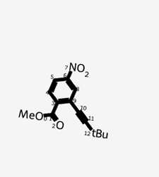 COC(=O)c1ccc([N+](=O)[O-])cc1C#CC(C)(C)C